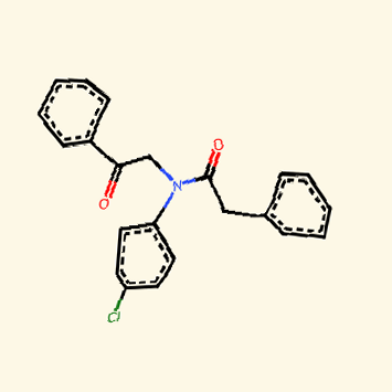 O=C(CN(C(=O)Cc1ccccc1)c1ccc(Cl)cc1)c1ccccc1